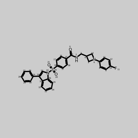 O=C(NCC1CN(c2ccc(F)cc2)C1)c1ccc(S(=O)(=O)n2cc(-c3ccccc3)c3ccccc32)cc1